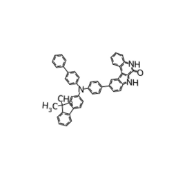 CC1(C)c2ccccc2-c2ccc(N(c3ccc(-c4ccccc4)cc3)c3ccc(-c4ccc5[nH]c6c(=O)[nH]c7ccccc7c6c5c4)cc3)cc21